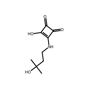 CC(C)(O)CCNc1c(O)c(=O)c1=O